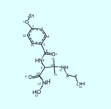 CCOc1ccc(C(=O)NC(C(=O)NO)C(C)(C)NCCO)cc1